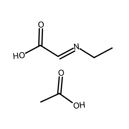 CC(=O)O.CCN=CC(=O)O